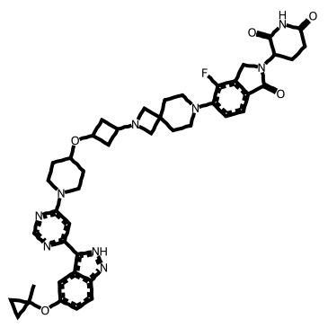 CC1(Oc2ccc3n[nH]c(-c4cc(N5CCC(OC6CC(N7CC8(CCN(c9ccc%10c(c9F)CN(C9CCC(=O)NC9=O)C%10=O)CC8)C7)C6)CC5)ncn4)c3c2)CC1